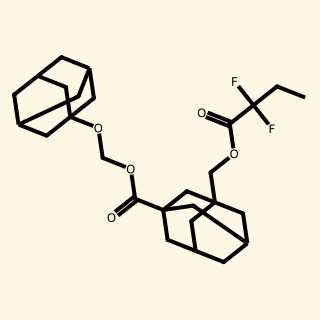 CCC(F)(F)C(=O)OCC12CC3CC(C1)CC(C(=O)OCOC14CC5CC(CC(C5)C1)C4)(C3)C2